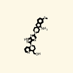 CSc1ccc2c(c1)[C@@H](N)C1(CCN(c3cnc4c(N5CCC(CO)c6ncccc65)n[nH]c4n3)CC1)C2